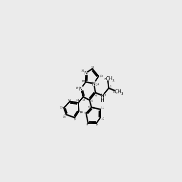 CC(C)Nc1c(-c2ccccc2)c(-c2cc[c]cc2)nc2nccn12